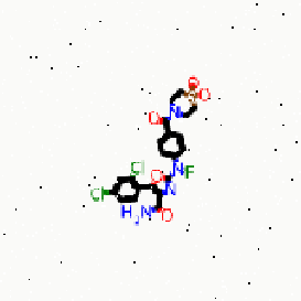 NC(=O)c1nc(N(F)c2ccc(C(=O)N3CCS(=O)(=O)CC3)cc2)oc1-c1ccc(Cl)cc1Cl